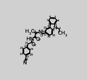 CCn1c2ccccc2c2cc(CN[C@@H](C)C(=O)NC(=O)Cc3ccc(C#N)cc3)ccc21